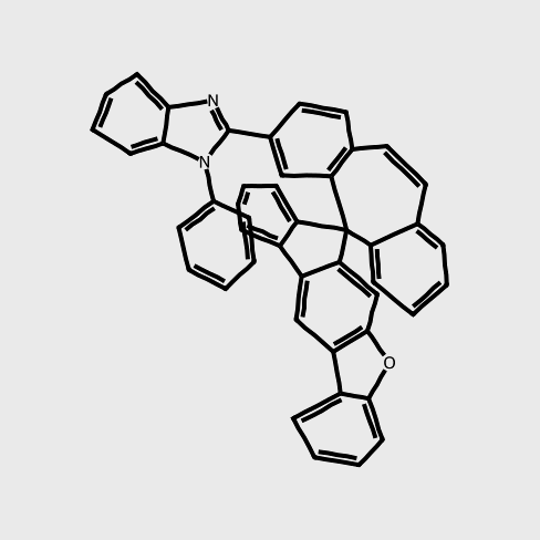 C1=Cc2ccc(-c3nc4ccccc4n3-c3ccccc3)cc2C2(c3ccccc31)c1ccccc1-c1cc3c(cc12)oc1ccccc13